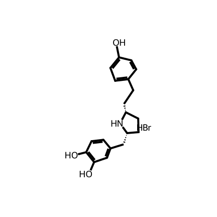 Br.Oc1ccc(CC[C@@H]2CC[C@H](Cc3ccc(O)c(O)c3)N2)cc1